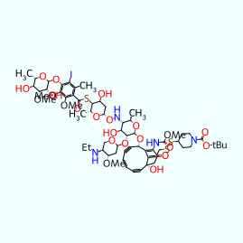 CCN[C@H]1CO[C@@H](O[C@H]2[C@H](O[C@H]3C#CC=CC#C[C@]4(O)CC(=O)C(NC(=O)OC)=C3/C4=C\CSSC3CCN(C(=O)OC(C)(C)C)CC3)O[C@H](C)[C@@H](NO[C@H]3C[C@H](O)[C@H](SC(=O)c4c(C)c(I)c(O[C@@H]5O[C@@H](C)[C@H](O)[C@@H](OC)[C@H]5O)c(OC)c4OC)[C@@H](C)O3)[C@@H]2O)C[C@@H]1OC